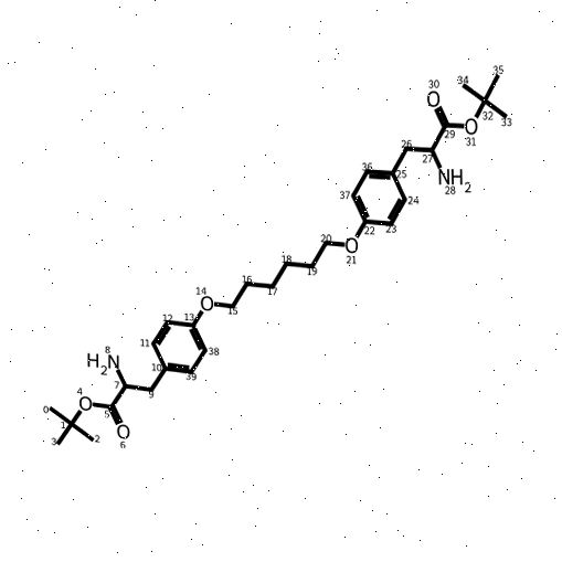 CC(C)(C)OC(=O)C(N)Cc1ccc(OCCCCCCOc2ccc(CC(N)C(=O)OC(C)(C)C)cc2)cc1